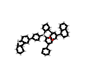 c1ccc(-c2cccc(N(c3ccc(-c4ccc5sc6ccccc6c5c4)cc3)c3ccccc3-c3cccc(-c4cccc5ccccc45)c3)c2)cc1